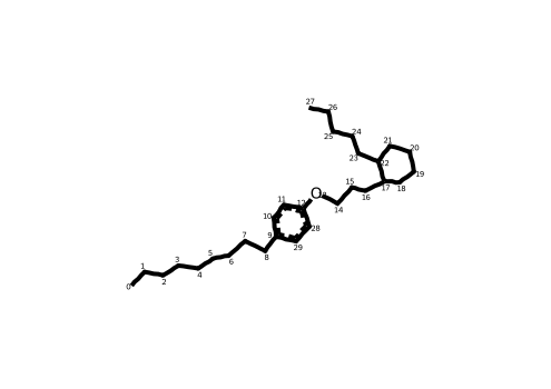 CCCCCCCCCc1ccc(OCCCC2CCCCC2CCCCC)cc1